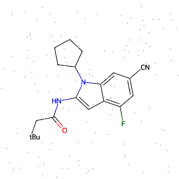 CC(C)(C)CC(=O)Nc1cc2c(F)cc(C#N)cc2n1C1CCCC1